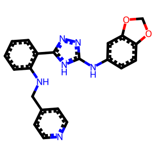 c1ccc(-c2nnc(Nc3ccc4c(c3)OCO4)[nH]2)c(NCc2ccncc2)c1